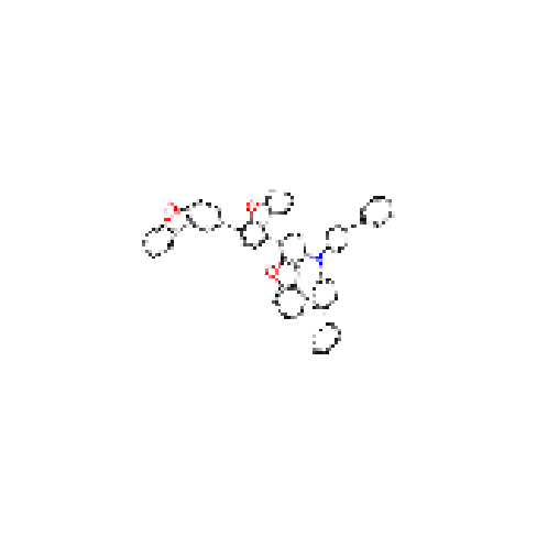 c1ccc(-c2ccc(N(c3ccc(-c4ccccc4)cc3)c3ccc(-c4ccc(-c5ccc6oc7ccccc7c6c5)c5oc6ccccc6c45)c4oc5ccccc5c34)cc2)cc1